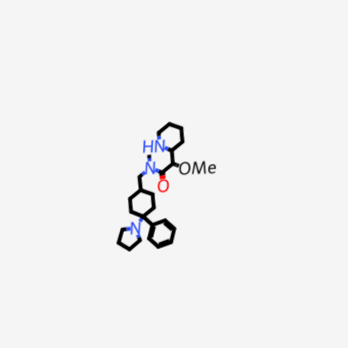 COC(C(=O)N(C)CC1CCC(c2ccccc2)(N2CCCC2)CC1)C1CCCCN1